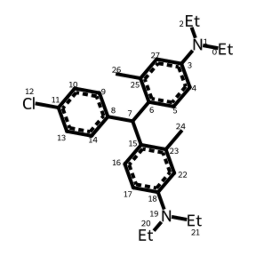 CCN(CC)c1ccc(C(c2ccc(Cl)cc2)c2ccc(N(CC)CC)cc2C)c(C)c1